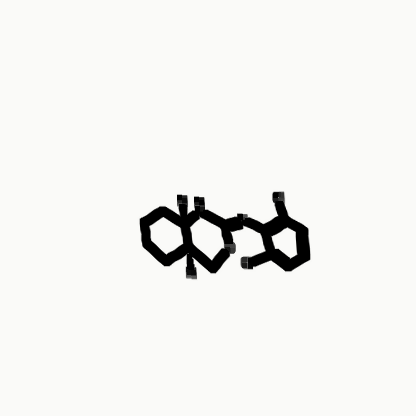 Clc1cccc(Cl)c1N=C1N[C@H]2CCCC[C@@H]2CO1